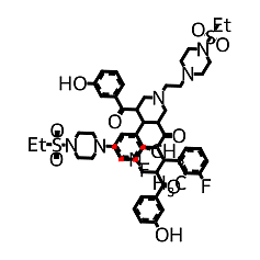 CCS(=O)(=O)N1CCN(CCN2CC(C(=O)c3cccc(O)c3)C(c3cccc(F)c3C)C(C(=O)C3CN(CCN4CCN(S(=O)(=O)CC)CC4)CC(C(=O)c4cccc(O)c4)C3c3cccc(F)c3C)C2)CC1